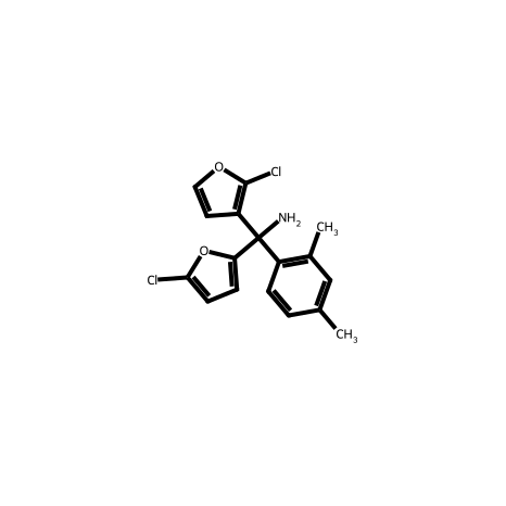 Cc1ccc(C(N)(c2ccc(Cl)o2)c2ccoc2Cl)c(C)c1